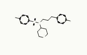 CCc1ccc(S(=O)(=O)N(CCCc2ccc(O)cc2)C2CCNCC2)cc1